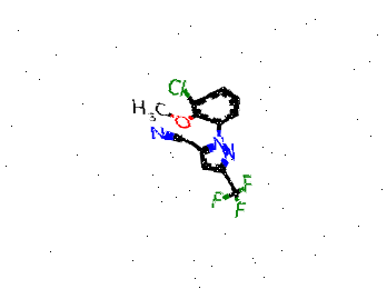 COc1c(Cl)cccc1-n1nc(C(F)(F)F)cc1C#N